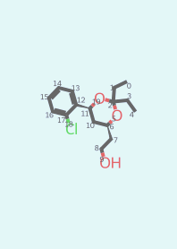 CCC1(CC)O[C@@H](CCO)C[C@@H](c2ccccc2Cl)O1